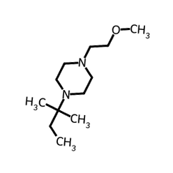 CCC(C)(C)N1CCN(CCOC)CC1